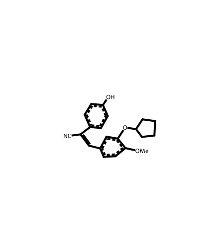 COc1ccc(C=C(C#N)c2ccc(O)cc2)cc1OC1CCCC1